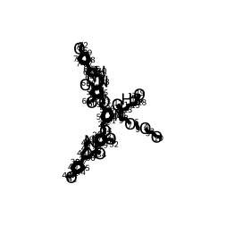 COCCOCCOCCN(C(=O)CCC[SH](C)(C)=O)c1cc(COc2cc3c(cc2OC)C(=O)N2C=C(c4ccc(OC)cc4)CC2C=N3)cc(COc2cc3c(cc2OC)C(=O)N2C=C(c4ccc(OC)cc4)C[C@H]2C=N3)c1